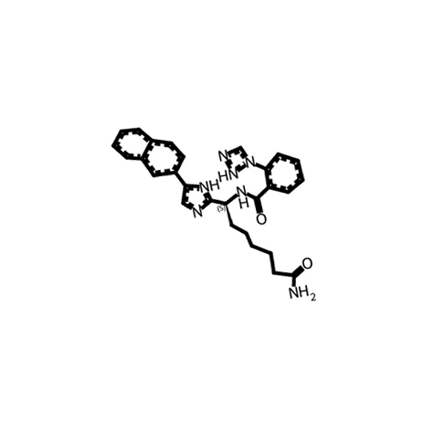 NC(=O)CCCCC[C@H](NC(=O)c1ccccc1-n1cn[nH]1)c1ncc(-c2ccc3ccccc3c2)[nH]1